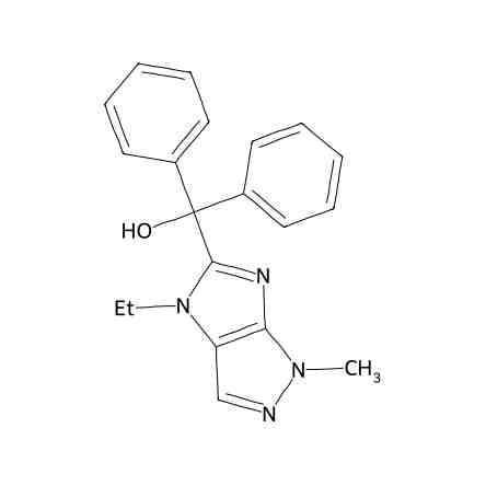 CCn1c(C(O)(c2ccccc2)c2ccccc2)nc2c1cnn2C